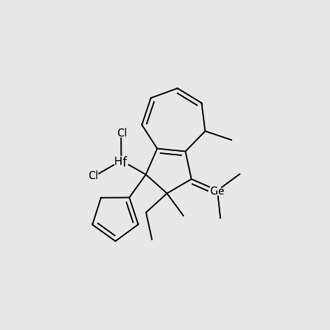 CCC1(C)[C](=[Ge]([CH3])[CH3])C2=C(C=CC=CC2C)[C]1(C1=CC=CC1)[Hf]([Cl])[Cl]